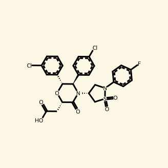 O=C(O)C[C@@H]1O[C@H](c2cccc(Cl)c2)[C@@H](c2ccc(Cl)cc2)N([C@@H]2CN(c3ccc(F)cc3)S(=O)(=O)C2)C1=O